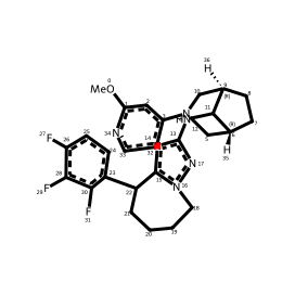 COc1cc(N2C[C@H]3CC[C@H](C2)C3Nc2nc3n(n2)CCCCC3c2ccc(F)c(F)c2F)ccn1